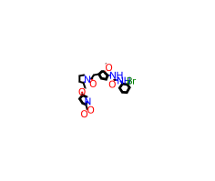 COC(=O)c1ccc(OCC2CCCN2C(=O)Cc2ccc(NC(=O)Nc3ccccc3Br)c(OC)c2)cn1